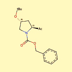 CC(=O)[C@@H]1C[C@@H](OC(C)(C)C)CN1C(=O)OCc1ccccc1